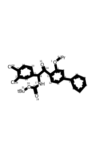 CC(C)Oc1cc(-c2ccccc2)ccc1C(=O)C(NC(=O)OC(C)(C)C)c1ccc(Cl)c(Cl)c1